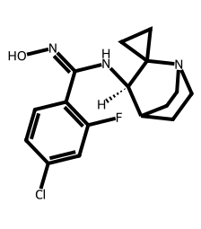 O/N=C(/N[C@@H]1C2CCN(CC2)C12CC2)c1ccc(Cl)cc1F